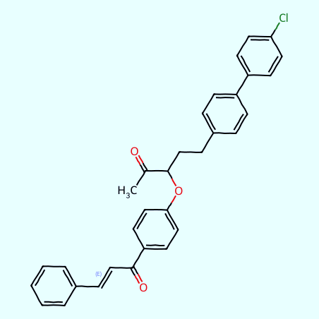 CC(=O)C(CCc1ccc(-c2ccc(Cl)cc2)cc1)Oc1ccc(C(=O)/C=C/c2ccccc2)cc1